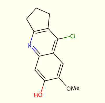 COc1cc2c(Cl)c3c(nc2cc1O)CCC3